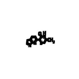 C=C1CSC(c2ccc3c(n2)N=CC3)C(=O)N1